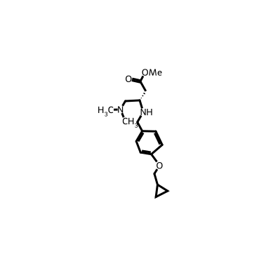 COC(=O)C[C@@H](CN(C)C)NCc1ccc(OCC2CC2)cc1